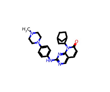 CN1CCN(c2ccc(Nc3ncc4ccc(=O)n(C5CC6CCC5C6)c4n3)cc2)CC1